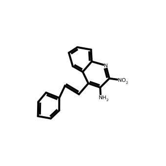 Nc1c([N+](=O)[O-])nc2ccccc2c1C=Cc1ccccc1